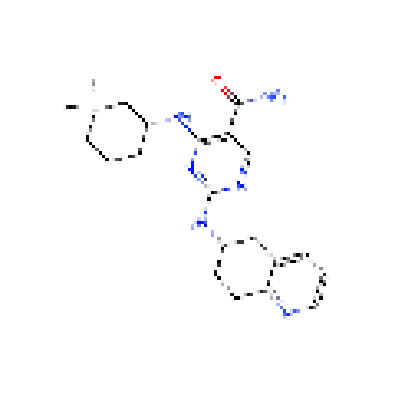 CC1(C)CCC[C@@H](Nc2nc(N[C@H]3CCc4ncccc4C3)ncc2C(N)=O)C1